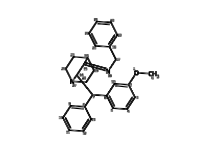 COc1cccc(C(c2ccccc2)C2C(=NCc3ccccc3)C3CCN2CC3)c1